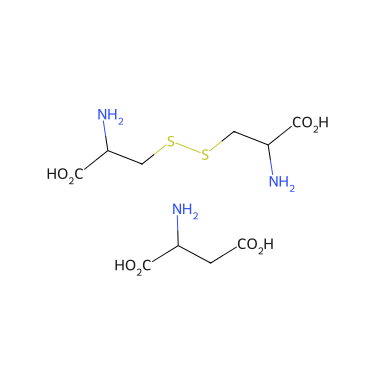 NC(CC(=O)O)C(=O)O.NC(CSSCC(N)C(=O)O)C(=O)O